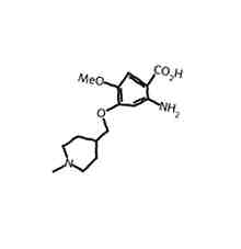 COc1cc(C(=O)O)c(N)cc1OCC1CCN(C)CC1